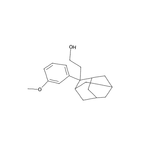 COc1cccc(C2(CCO)C3CC4CC(C3)CC2C4)c1